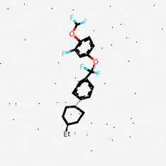 CC[C@H]1CC[C@H](c2ccc(C(F)(F)Oc3ccc(OC(F)F)c(F)c3)cc2)CC1